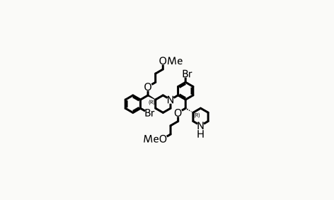 COCCCOC(c1ccccc1Br)[C@@H]1CCCN(c2cc(Br)ccc2C(OCCCOC)[C@@H]2CCCNC2)C1